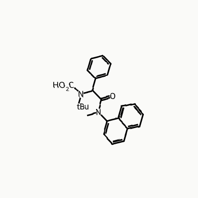 CN(C(=O)C(c1ccccc1)N(C(=O)O)C(C)(C)C)c1cccc2ccccc12